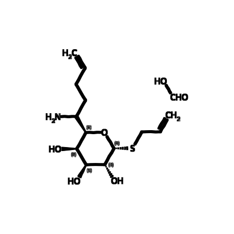 C=CCCC(N)[C@H]1O[C@H](SCC=C)[C@H](O)[C@@H](O)[C@H]1O.O=CO